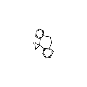 c1ccc2c(c1)CCc1ccccc1C21CO1